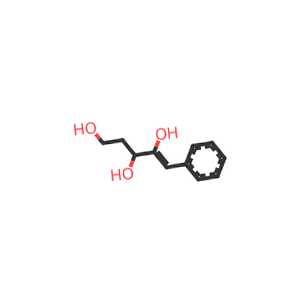 OCCC(O)C(O)=Cc1ccccc1